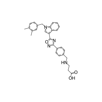 Cc1ccc(Cn2cc(-c3nc(-c4ccc(CNCCC(=O)O)cc4)no3)c3ccccc32)cc1C